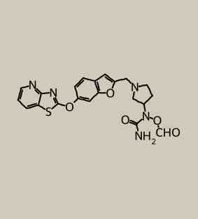 NC(=O)N(OC=O)C1CCN(Cc2cc3ccc(Oc4nc5ncccc5s4)cc3o2)C1